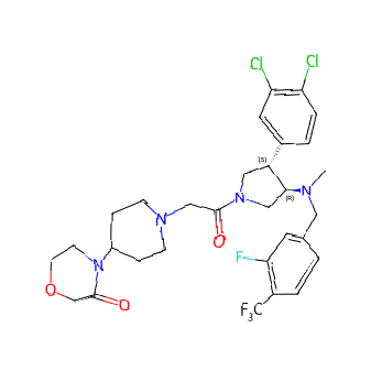 CN(Cc1ccc(C(F)(F)F)c(F)c1)[C@H]1CN(C(=O)CN2CCC(N3CCOCC3=O)CC2)C[C@@H]1c1ccc(Cl)c(Cl)c1